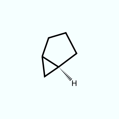 C1CC2C[C@@H]2C1